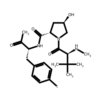 CN[C@H](C(=O)N1C[C@H](O)C[C@H]1C(=O)N[C@H](Cc1ccc(I)cc1)C(C)=O)C(C)(C)C